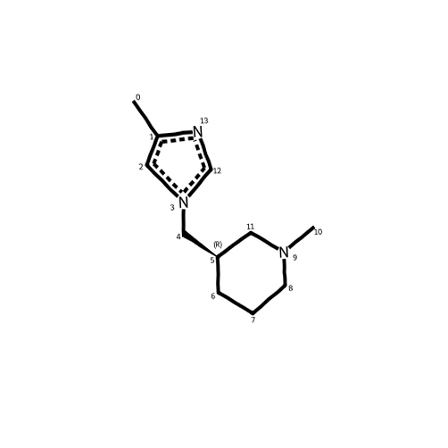 Cc1cn(C[C@@H]2CCCN(C)C2)cn1